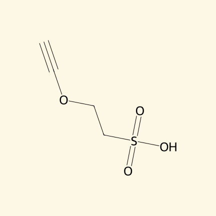 C#COCCS(=O)(=O)O